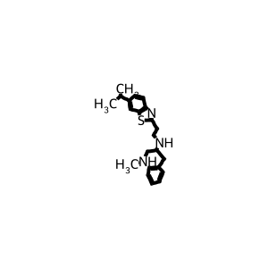 CNCC(Cc1ccccc1)NCCc1nc2ccc(C(C)C)cc2s1